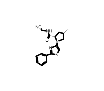 C[C@H]1C[C@@H](C(=O)NCC#N)N(c2csc(-c3ccccc3)n2)C1